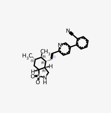 C[C@H]1[C@H](/C=C/c2ccc(-c3ccccc3C#N)cn2)[C@@H]2CNS(=O)(=O)[C@@H]2C[C@@H]1C